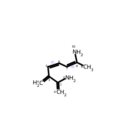 C=C(N)C(=C)/C=C\C=C(\C)N